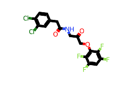 O=C(CNC(=O)Cc1ccc(Cl)c(Cl)c1)COc1c(F)c(F)cc(F)c1F